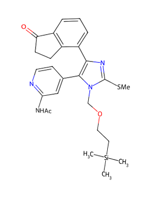 CSc1nc(-c2cccc3c2CCC3=O)c(-c2ccnc(NC(C)=O)c2)n1COCC[Si](C)(C)C